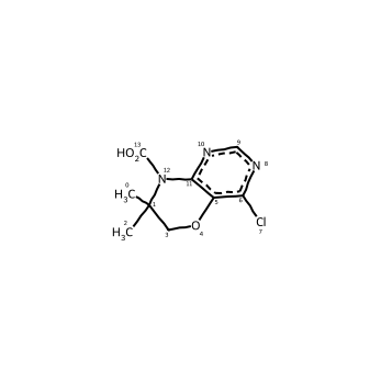 CC1(C)COc2c(Cl)ncnc2N1C(=O)O